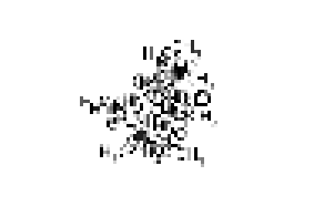 CCCCC(NC(=O)C(CCC(=O)C(=O)NC)NC(=O)CNC(=O)[C@@H]1CCCN1C(=O)CNC(=O)C(CC(C)C)NC(C)=O)C(=O)NC(C(=O)NC(CC(C)C)C(=O)N1CCC[C@H]1C(=O)NC(Cc1c[nH]c2ccccc12)C(N)=O)C(C)CC